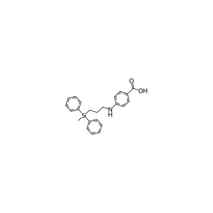 C[Si](CCCNc1ccc(C(=O)O)cc1)(c1ccccc1)c1ccccc1